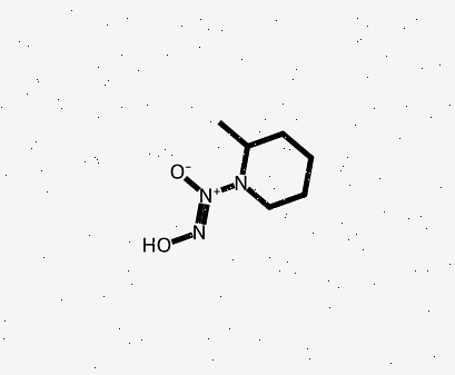 CC1CCCCN1[N+]([O-])=NO